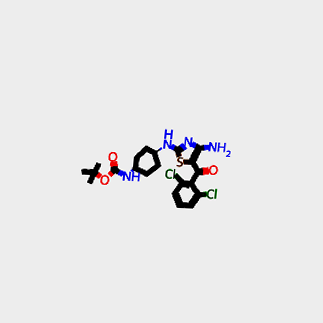 CC(C)(C)OC(=O)N[C@H]1CC[C@H](Nc2nc(N)c(C(=O)c3c(Cl)cccc3Cl)s2)CC1